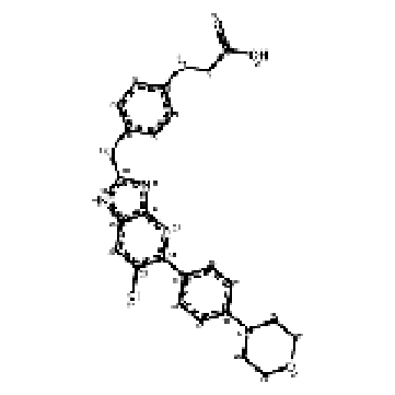 O=C(O)COc1ccc(Oc2nc3nc(-c4ccc(N5CCOCC5)cc4)c(Cl)cc3[nH]2)cc1